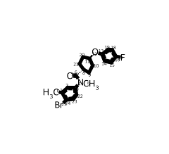 Cc1cc(N(C)C(=O)[C@H]2CC[C@H](Oc3ccc(F)cc3)CC2)ccc1Br